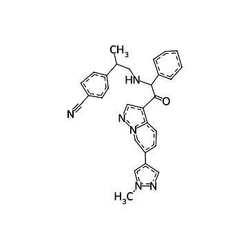 CC(CNC(C(=O)c1cnn2cc(-c3cnn(C)c3)ccc12)c1ccccc1)c1ccc(C#N)cc1